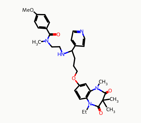 CCN1C(=O)C(C)(C)C(=O)N(C)c2cc(OCCCC(NCCN(C)C(=O)c3ccc(OC)cc3)c3ccncc3)ccc21